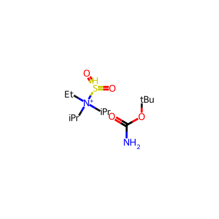 CC(C)(C)OC(N)=O.CC[N+](C(C)C)(C(C)C)[SH](=O)=O